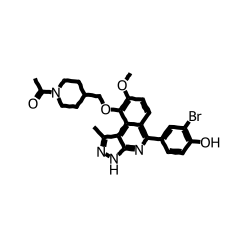 COc1ccc2c(-c3ccc(O)c(Br)c3)nc3[nH]nc(C)c3c2c1OCC1CCN(C(C)=O)CC1